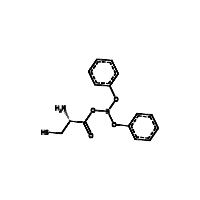 N[C@@H](CS)C(=O)OB(Oc1ccccc1)Oc1ccccc1